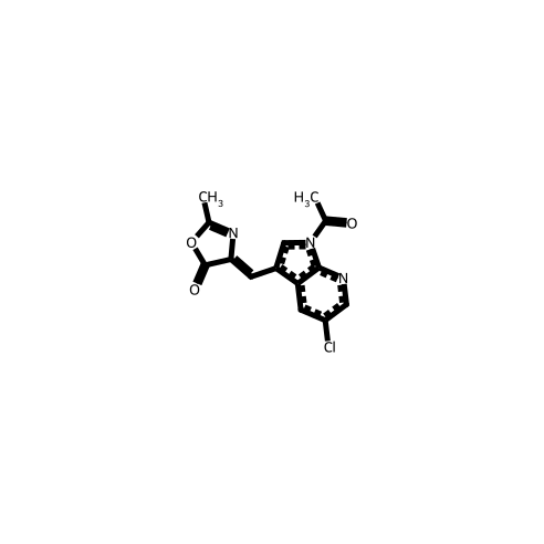 CC(=O)n1cc(/C=C2\N=C(C)OC2=O)c2cc(Cl)cnc21